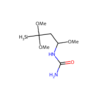 COC(CC([SiH3])(OC)OC)NC(N)=O